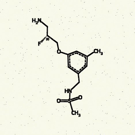 Cc1cc(CNS(C)(=O)=O)cc(OC[C@H](F)CN)c1